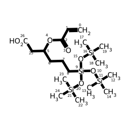 C=CC(=O)OC(CCC[Si](O[Si](C)(C)C)(O[Si](C)(C)C)O[Si](C)(C)C)CC(=O)O